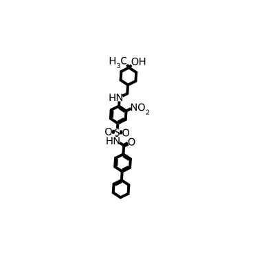 CC1(O)CCC(CNc2ccc(S(=O)(=O)NC(=O)c3ccc(C4=CCCCC4)cc3)cc2[N+](=O)[O-])CC1